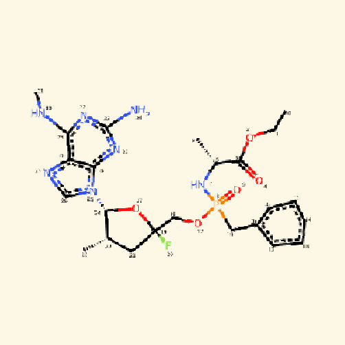 CCOC(=O)[C@@H](C)NP(=O)(Cc1ccccc1)OC[C@]1(F)C[C@H](C)[C@H](n2cnc3c(NC)nc(N)nc32)O1